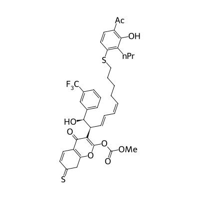 CCCc1c(SCCCC/C=C\C=C\[C@@H](c2c(OC(=O)OC)oc3c(c2=O)C=CC(=S)C3)[C@@H](O)c2cccc(C(F)(F)F)c2)ccc(C(C)=O)c1O